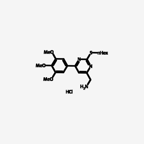 CCCCCCSc1nc(CN)cc(-c2cc(OC)c(OC)c(OC)c2)n1.Cl